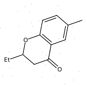 CCC1CC(=O)c2cc(C)ccc2O1